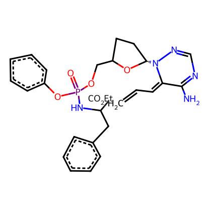 C=C/C=C1/C(N)=NC=NN1[C@H]1CCC(COP(=O)(NC(Cc2ccccc2)C(=O)OCC)Oc2ccccc2)O1